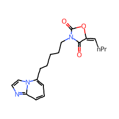 CCCC=C1OC(=O)N(CCCCCc2cccc3nccn23)C1=O